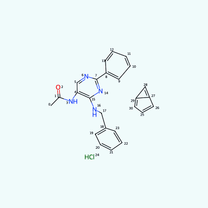 CC(=O)Nc1cnc(-c2ccccc2)nc1NCc1ccccc1.Cl.c1cc2cc-2c1